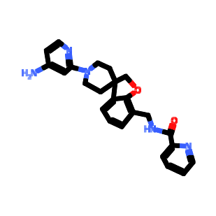 Nc1ccnc(N2CCC3(CC2)COc2c(CNC(=O)c4ccccn4)cccc23)c1